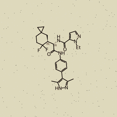 CCn1nccc1C(=O)N[C@H](C(=O)Nc1ccc(-c2c(C)n[nH]c2C)cc1)[C@@H]1CC2(CC2)CCC1(F)F